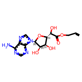 C=CCOC(=O)C(O)[C@H]1O[C@@H](n2cnc3c(N)ncnc32)[C@H](O)[C@@H]1O